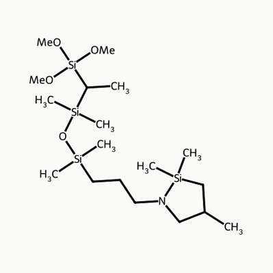 CO[Si](OC)(OC)C(C)[Si](C)(C)O[Si](C)(C)CCCN1CC(C)C[Si]1(C)C